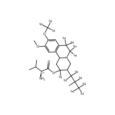 [2H]C([2H])([2H])Oc1cc2c(cc1OC)C1CC([2H])(OC(=O)[C@@H](N)C(C)C)C(C([2H])([2H])C([2H])(C)C([2H])([2H])[2H])CN1C([2H])([2H])C2([2H])[2H]